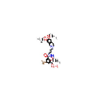 COc1cc2c(cc1OC)CN(CCCCNC(=O)c1cc(Br)cc(CO)c1OC)CC2